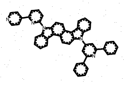 c1ccc(-c2cc(-n3c4ccccc4c4c5ccc6c(c5ccc43)c3ccccc3n6-c3cccc(-c4ccncc4)n3)cc(-c3ccccc3)n2)cc1